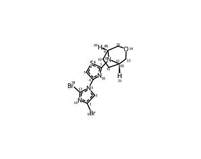 Brc1cn(-c2csc(N3[C@@H]4CC[C@H]3COC4)n2)c(Br)n1